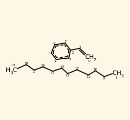 C=Cc1ccccc1.CCCCCCCCCCCC